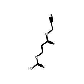 N#CCNC(=O)CCNC(=O)O